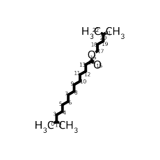 CC(C)CCCCCCCCCCCC(=O)OCCCC(C)C